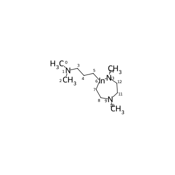 CN(C)CC[CH2][In]1[CH2]CN(C)CC[N]1C